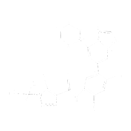 Cc1cc(F)c(NC(=O)c2cnn(C(C)(C)C)c2F)cc1-c1cc(N2CCOCC2)n2nccc2c1